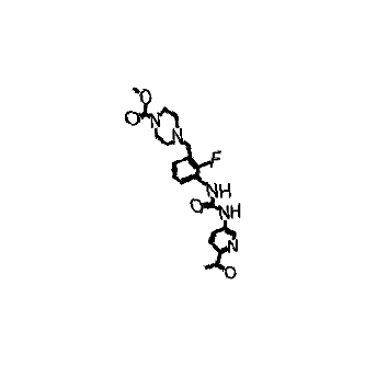 COC(=O)N1CCN(Cc2cccc(NC(=O)Nc3ccc(C(C)=O)nc3)c2F)CC1